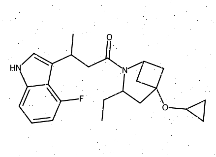 CCC1CC2(OC3CC3)CC(C2)N1C(=O)CC(C)c1c[nH]c2cccc(F)c12